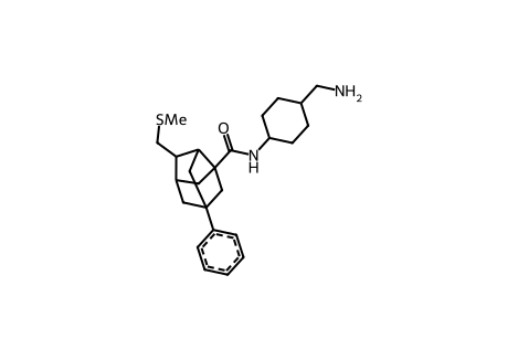 CSCC1C2CC3(c4ccccc4)CC1C(C(=O)NC1CCC(CN)CC1)(C2)C3